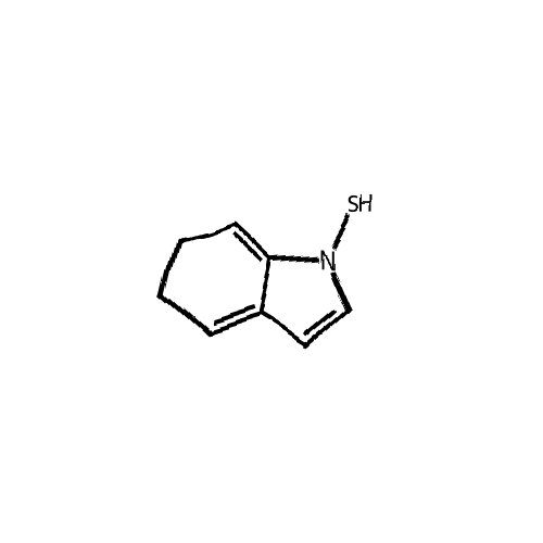 Sn1ccc2c1=CCCC=2